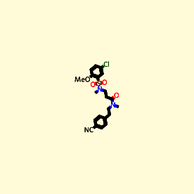 COc1ccc(Cl)cc1S(=O)(=O)N(C)CCC(=O)N(C)CCc1ccc(C#N)cc1